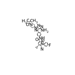 CC(C)C(=O)N1CCC(n2nc(-c3ccc(NC(=O)c4cc(C5CC5)c(C#N)n(-c5ccc(F)cc5)c4=O)cc3)c3c(N)ncnc32)CC1